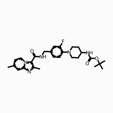 Cc1ccn2c(C(=O)NCc3ccc(N4CCC(NC(=O)OC(C)(C)C)CC4)c(F)c3)c(C)nc2c1